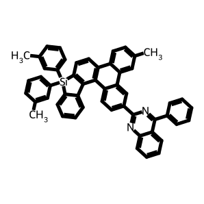 Cc1cccc([Si]2(c3cccc(C)c3)c3ccccc3-c3c2ccc2c4ccc(C)cc4c4cc(-c5nc(-c6ccccc6)c6ccccc6n5)ccc4c32)c1